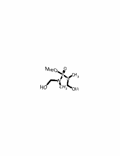 COP(=O)(N(C)CO)N(C)CO